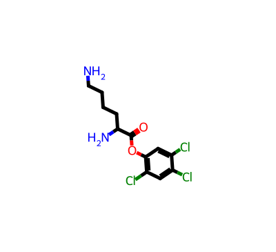 NCCCCC(N)C(=O)Oc1cc(Cl)c(Cl)cc1Cl